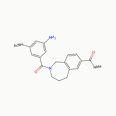 CNC(=O)c1ccc2c(c1)CCCN(C(=O)c1cc(N)cc(NC(C)=O)c1)C2